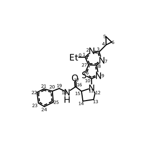 CCc1nc(C2CC2)nc2nc(N3CCCC3C(=O)NCc3ccccc3)sc12